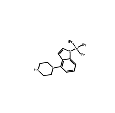 CC(C)[Si](C(C)C)(C(C)C)n1ccc2c(N3CCNCC3)cccc21